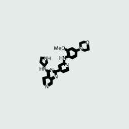 COc1cc(N2CCOCC2)ccc1Nc1cc(-c2nc(N[C@@H]3CCNC3)c3ccncc3n2)ccn1